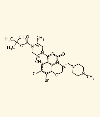 C[C@H]1CN(c2nc(=O)n3c4c(c(Br)c(Cl)cc24)OC[C@H]3CN2CCN(C)CC2)[C@@H](C)CN1C(=O)OC(C)(C)C